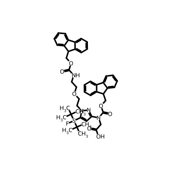 CC(C)(C)S(F)(c1cc(N(CC(=O)O)C(=O)OCC2c3ccccc3-c3ccccc32)nn1CCOCCNC(=O)OCC1c2ccccc2-c2ccccc21)C(C)(C)C